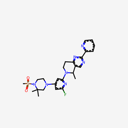 CC1c2cnc(-c3ccccn3)nc2CCN1c1cc(N2CCN(S(C)(=O)=O)C(C)(C)C2)cc(F)n1